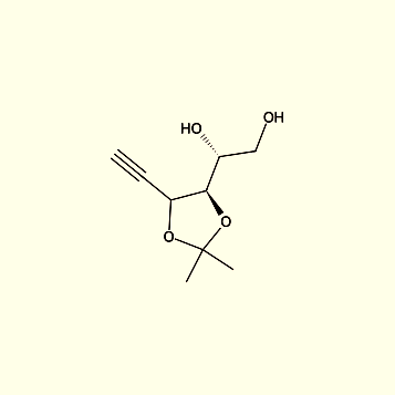 C#CC1OC(C)(C)O[C@@H]1[C@H](O)CO